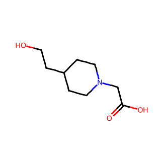 O=C(O)CN1CCC(CCO)CC1